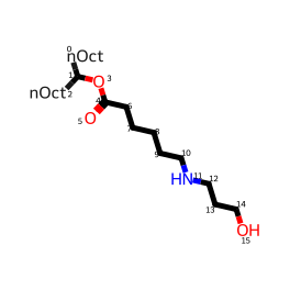 CCCCCCCCC(CCCCCCCC)OC(=O)CCCCCNCCCO